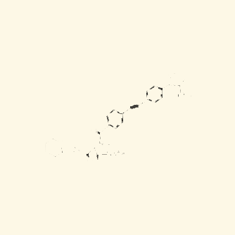 CNC(=O)[C@@](C)(C(=O)NOC1CCCCO1)N(C)C(=O)c1ccc(C#Cc2ccc([C@H](O)C(C)O)cc2)cc1